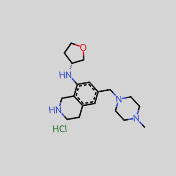 CN1CCN(Cc2cc3c(c(N[C@@H]4CCOC4)c2)CNCC3)CC1.Cl